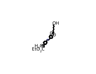 CCOC(=O)CN(C)c1ccc(/C=C/c2ccc(S(=O)(=O)CCCCCCO)cc2)cc1